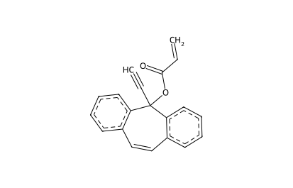 C#CC1(OC(=O)C=C)c2ccccc2C=Cc2ccccc21